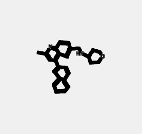 Cc1cc(-c2ccc3ccccc3c2)c2cc(CNC3CCOCC3)ccc2n1